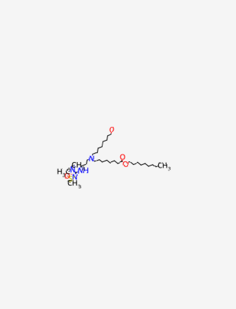 CCCCCCCCCOC(=O)CCCCCCCN(CCCCCCCC=O)CCCN/C(=N/[S+](C)[O-])N(C)C